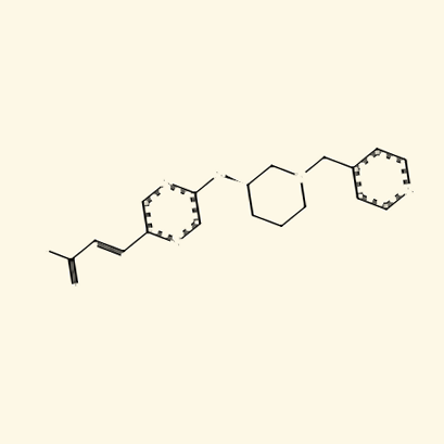 O=C(O)/C=C/c1cnc(N[C@@H]2CCCN(Cc3ccncc3)C2)cn1